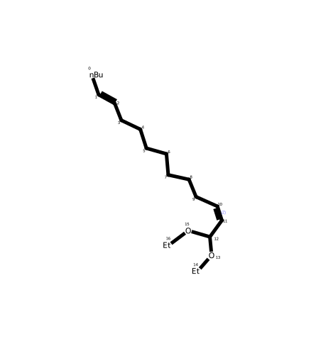 CCCCC=CCCCCCCC/C=C\C(OCC)OCC